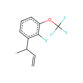 [CH2]C(C=C)c1cccc(OC(F)(F)F)c1F